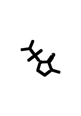 CC(C)C(C)(C)N1CCN(C)C1=O